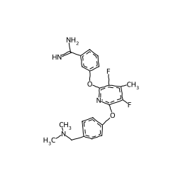 Cc1c(F)c(Oc2ccc(CN(C)C)cc2)nc(Oc2cccc(C(=N)N)c2)c1F